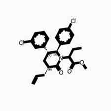 C=CC[C@@H]1C[C@H](c2cccc(Cl)c2)[C@@H](c2ccc(Cl)cc2)N(C(CC)C(=O)OC)C1=O